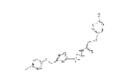 Cc1ccc(OCc2noc(C3(C)CC(C)(NC(=O)COc4ccc(Cl)cc4)C3)n2)cc1